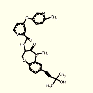 Cc1ccc(Oc2ccnc(C(=O)NC3COc4ccc(C#CC(C)(C)O)cc4N(C)C3=O)c2)cn1